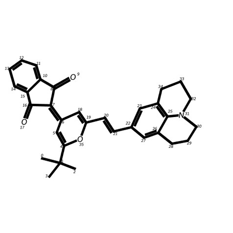 CC(C)(C)C1=CC(=C2C(=O)c3ccccc3C2=O)C=C(C=Cc2cc3c4c(c2)CCCN4CCC3)O1